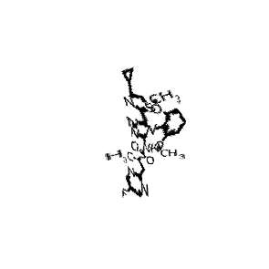 COc1cccc(OC)c1-n1c(NS(=O)(=O)[C@H](C)Cc2ncc(F)cn2)nnc1-c1nc(C2CC2)cs1